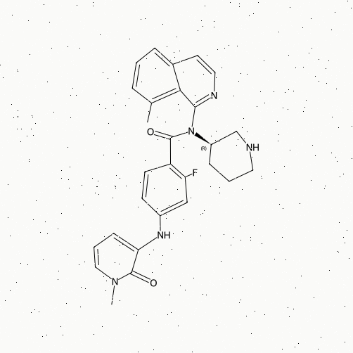 Cc1cccc2ccnc(N(C(=O)c3ccc(Nc4cccn(C)c4=O)cc3F)[C@@H]3CCCNC3)c12